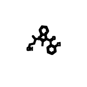 Cc1c(C(=O)c2ccccc2Cl)c2ccccc2n1C(C)CCO